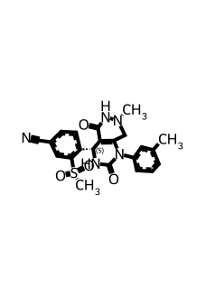 Cc1cccc(N2C(=O)N[C@H](c3ccc(C#N)cc3S(C)(=O)=O)C3=C2CN(C)NC3=O)c1